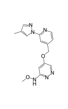 CONc1cc(OCc2ccnc(-n3cc(C)cn3)c2)cnn1